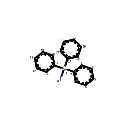 I[Si](c1ccccc1)(c1ccccc1)c1ccccc1